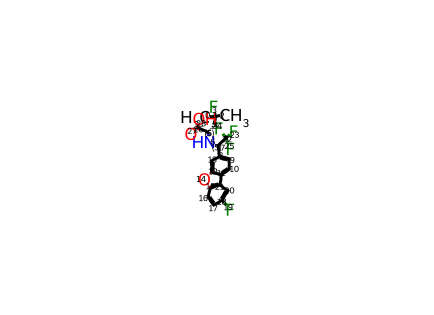 CC(C)(F)C[C@H](N[C@@H](c1ccc2c(c1)oc1ccc(F)cc12)C(F)(F)F)C(=O)O